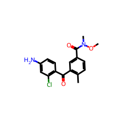 CON(C)C(=O)c1ccc(C)c(C(=O)c2ccc(N)cc2Cl)c1